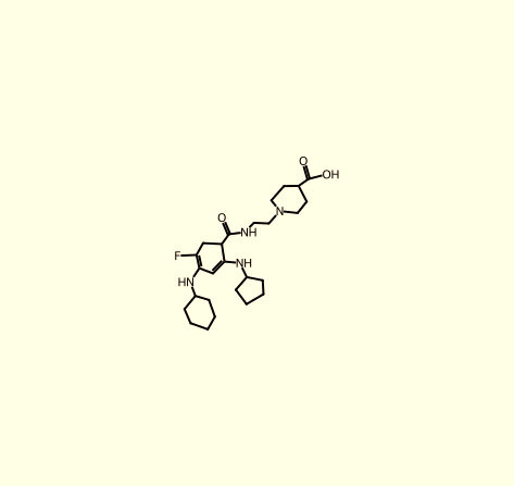 O=C(O)C1CCN(CCNC(=O)C2CC(F)=C(NC3CCCCC3)C=C2NC2CCCC2)CC1